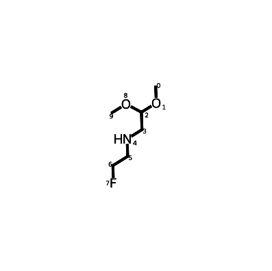 COC(CNCCF)OC